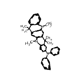 CN1c2ccccc2C(C)(C)c2cc3c(cc21)C(C)(C)c1cc(N(c2ccccc2)c2ccccc2)ccc1N3C